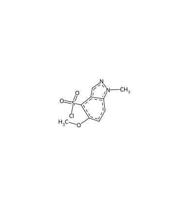 COc1ccc2c(cnn2C)c1S(=O)(=O)Cl